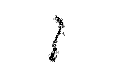 CNC(=O)c1ccccc1Nc1nc(Nc2ccc(N3CCN(C(=O)NCCOCCOCC(N)COCCC(=O)Nc4ccc5c(c4)CN(C4CCC(=O)NC4=O)C5=O)CC3)cc2)ncc1Cl